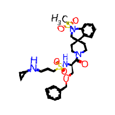 CS(=O)(=O)N1CC2(CCN(C(=O)[C@@H](COCc3ccccc3)NS(=O)(=O)CCCNC3CC3)CC2)c2ccccc21